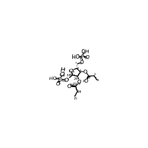 CCC(=O)O[C@@H]1[C@@H](COP(=O)(O)O)OC(OP(=O)(O)O)[C@@H]1OC(=O)CC